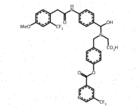 COc1ccc(CC(=O)Nc2ccc(C(O)N(CC(=O)O)Cc3ccc(OC(=O)c4cncc(C(F)(F)F)c4)cc3)cc2)c(C(F)(F)F)c1